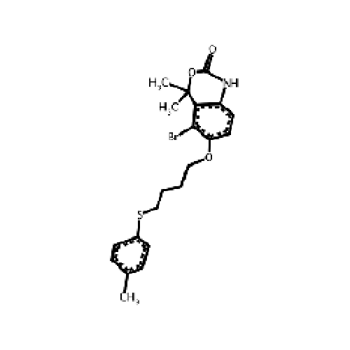 Cc1ccc(SCCCCOc2ccc3c(c2Br)C(C)(C)OC(=O)N3)cc1